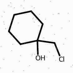 OC1(CCl)CCCCC1